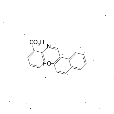 O=C(O)c1ccccc1/N=C\c1c(O)ccc2ccccc12